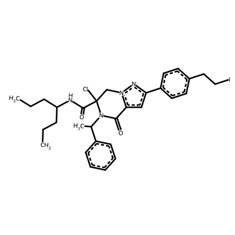 CCCC(CCC)NC(=O)C1(Cl)Cn2nc(-c3ccc(CCI)cc3)cc2C(=O)N1C(C)c1ccccc1